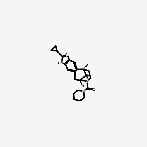 CC1(C)[C@H]2Cc3cc4[nH]c(C5CC5)nc4cc3[C@]1(C)CCN2C(=O)N1CCCCC1